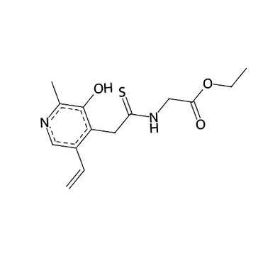 C=Cc1cnc(C)c(O)c1CC(=S)NCC(=O)OCC